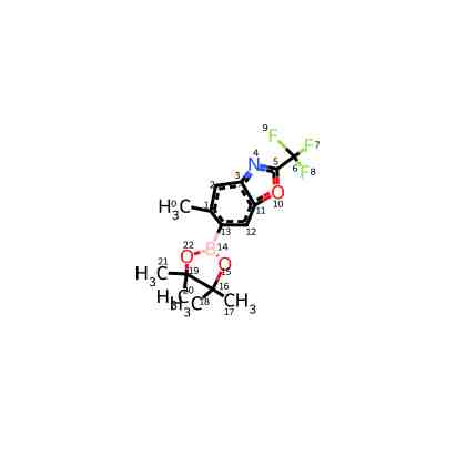 Cc1cc2nc(C(F)(F)F)oc2cc1B1OC(C)(C)C(C)(C)O1